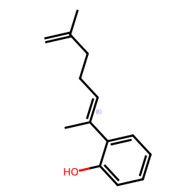 C=C(C)CC/C=C(\C)c1ccccc1O